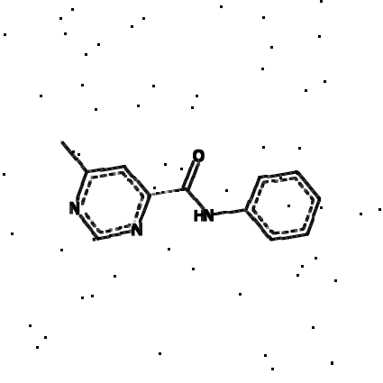 Cc1cc(C(=O)Nc2ccccc2)n[c]n1